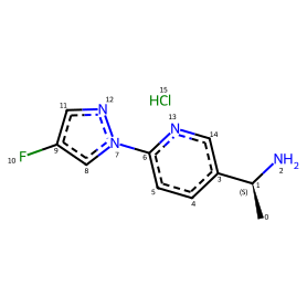 C[C@H](N)c1ccc(-n2cc(F)cn2)nc1.Cl